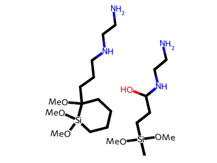 COC1(CCCNCCN)CCCC[Si]1(OC)OC.CO[Si](C)(CCC(O)NCCN)OC